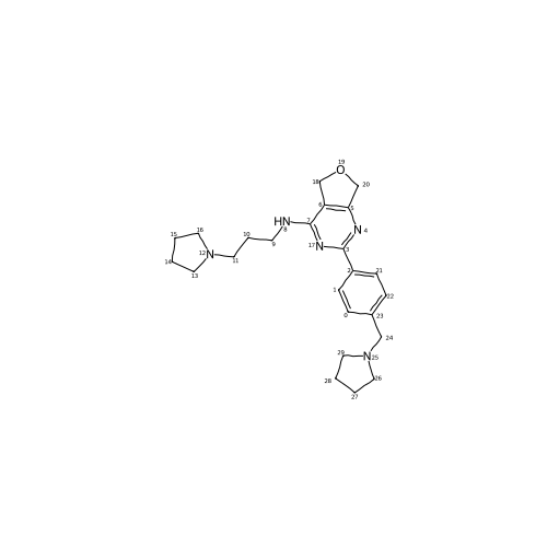 c1cc(-c2nc3c(c(NCCCN4CCCC4)n2)COC3)ccc1CN1CCCC1